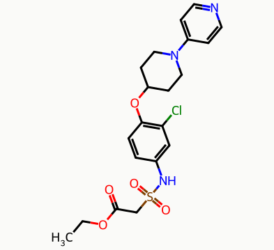 CCOC(=O)CS(=O)(=O)Nc1ccc(OC2CCN(c3ccncc3)CC2)c(Cl)c1